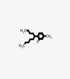 CCCCCC(CCCC)c1ccc(C)cc1F